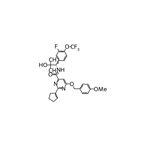 COc1ccc(COc2cc(C(=O)N[C@@H](c3ccc(OC(F)(F)F)c(F)c3)C(C)(C)O)nc(C3=CCCC3)n2)cc1